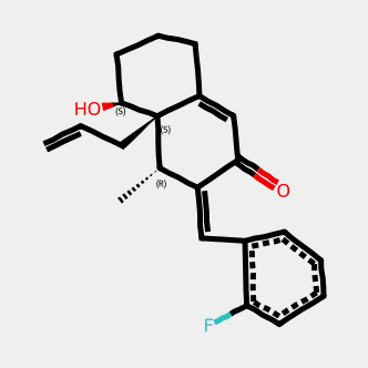 C=CC[C@@]12C(=CC(=O)C(=Cc3ccccc3F)[C@@H]1C)CCC[C@@H]2O